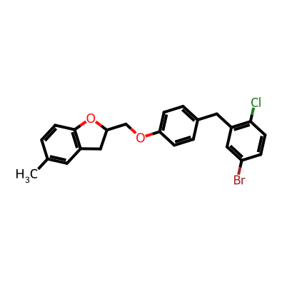 Cc1ccc2c(c1)CC(COc1ccc(Cc3cc(Br)ccc3Cl)cc1)O2